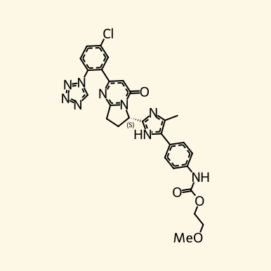 COCCOC(=O)Nc1ccc(-c2[nH]c([C@@H]3CCc4nc(-c5cc(Cl)ccc5-n5cnnn5)cc(=O)n43)nc2C)cc1